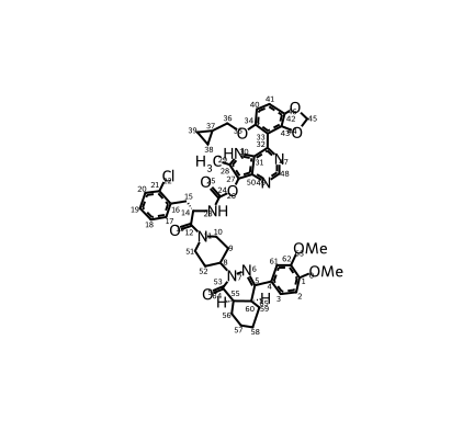 COc1ccc(C2=NN(C3CCN(C(=O)[C@H](Cc4ccccc4Cl)NC(=O)Oc4c(C)[nH]c5c(-c6c(OCC7CC7)ccc7c6OCO7)ncnc45)CC3)C(=O)[C@@H]3CCCC[C@H]23)cc1OC